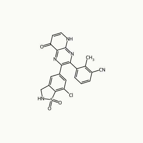 Cc1c(C#N)cccc1-c1nc2[nH]ccc(=O)c2nc1-c1cc(Cl)c2c(c1)CNS2(=O)=O